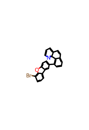 Brc1cccc2c1oc1ccc(-c3cccc4ccc5cccnc5c34)cc12